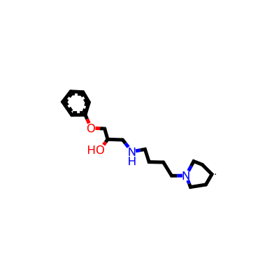 OC(CNCCCCN1CC[CH]CC1)COc1ccccc1